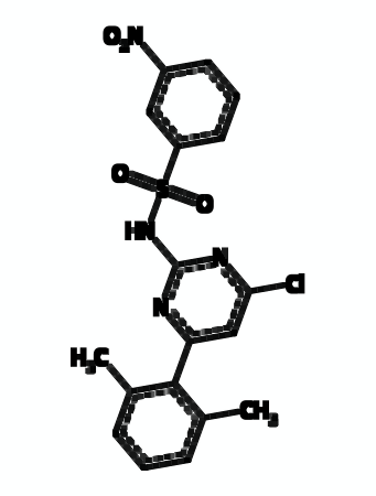 Cc1cccc(C)c1-c1cc(Cl)nc(NS(=O)(=O)c2cccc([N+](=O)[O-])c2)n1